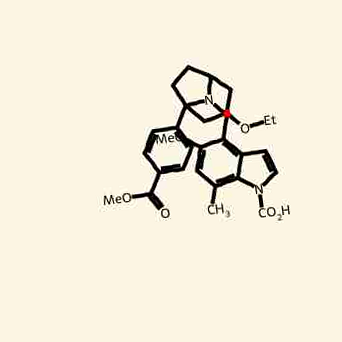 CCOC1CC2CCC(c3ccc(C(=O)OC)cc3)(C1)N2Cc1c(OC)cc(C)c2c1ccn2C(=O)O